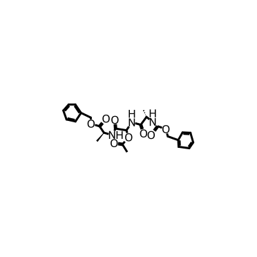 CC(=O)OC(NC(=O)[C@H](C)NC(=O)OCc1ccccc1)C(=O)N[C@@H](C)C(=O)OCc1ccccc1